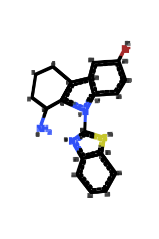 NC1CCCc2c1n(-c1nc3ccccc3s1)c1ccc(Br)cc21